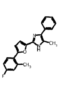 Cc1cc(F)ccc1-c1ccc(-c2nc(-c3ccccc3)c(C)[nH]2)o1